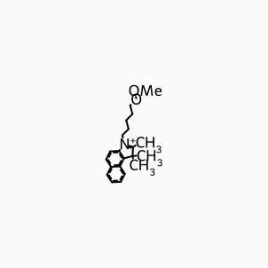 COOCCCCC[N+]1=C(C)C(C)(C)c2c1ccc1ccccc21